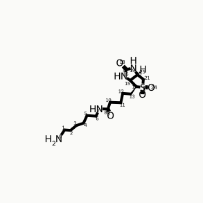 NCCCCCCNC(=O)CCCC[C@H]1C2NC(=O)N[C@H]2CS1(=O)=O